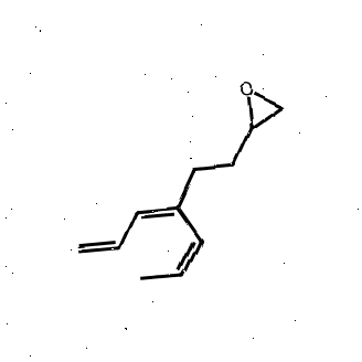 C=C/C=C(\C=C/C)CCC1CO1